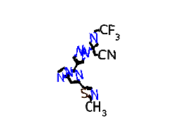 Cc1ncc(-c2cc3nccn3c(-c3cnn(C4(CC#N)CN(CC(F)(F)F)C4)c3)n2)s1